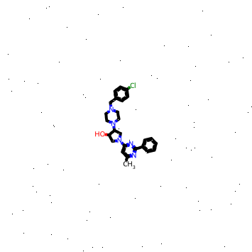 Cc1cc(N2CC(O)C(N3CCN(Cc4ccc(Cl)cc4)CC3)C2)nc(-c2ccccc2)n1